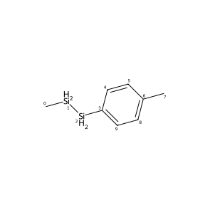 C[SiH2][SiH2]c1ccc(C)cc1